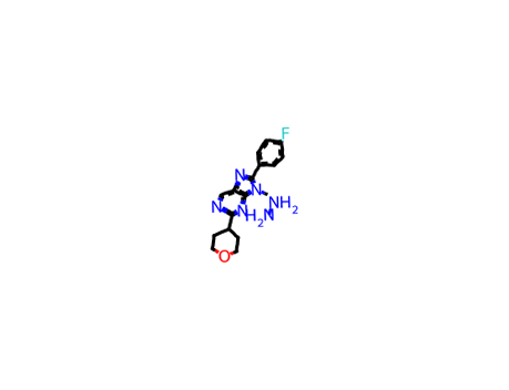 Cn1c(-c2ccc(F)cc2)nc2cnc(C3CCOCC3)nc21.NN